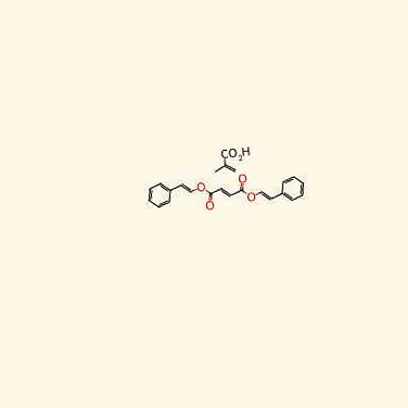 C=C(C)C(=O)O.O=C(/C=C/C(=O)OC=Cc1ccccc1)OC=Cc1ccccc1